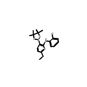 CCc1ccc(B2OC(C)(C)C(C)(C)O2)c(Nc2ccccc2Cl)n1